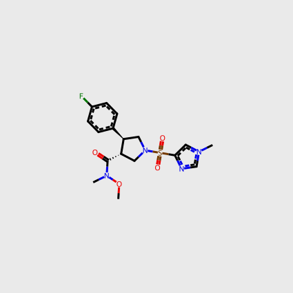 CON(C)C(=O)[C@H]1CN(S(=O)(=O)c2cn(C)cn2)C[C@@H]1c1ccc(F)cc1